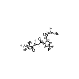 CCCC(C)(CCC)C(=O)NCC(=O)N1CC(F)(F)CC1C1OC1NC(C)CC